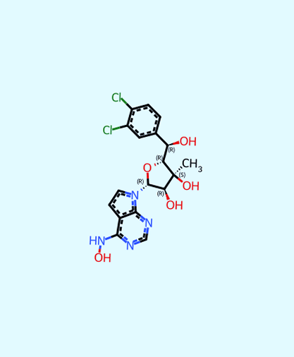 C[C@@]1(O)[C@@H]([C@H](O)c2ccc(Cl)c(Cl)c2)O[C@@H](n2ccc3c(NO)ncnc32)[C@@H]1O